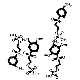 COc1cc(S(=O)(=O)CCOS(=O)(=O)O)c(OC)cc1N.COc1ccc(S(=O)(=O)CCOS(=O)(=O)O)cc1N.Nc1ccc(S(=O)(=O)CCOS(=O)(=O)O)cc1.Nc1cccc(S(=O)(=O)CCOS(=O)(=O)O)c1